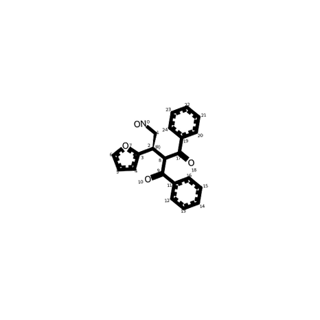 O=NC[C@H](c1ccco1)C(C(=O)c1ccccc1)C(=O)c1ccccc1